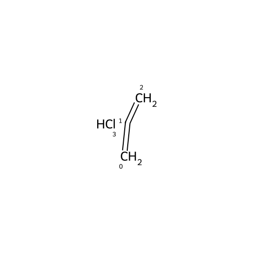 C=C=C.Cl